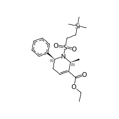 CCOC(=O)C1=CC[C@@H](c2ccccc2)N(S(=O)(=O)CC[Si](C)(C)C)[C@H]1C